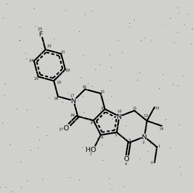 CCN1C(=O)c2c(O)c3c(n2CC1(C)C)CCN(Cc1ccc(F)cc1)C3=O